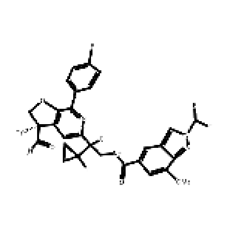 COc1cc(C(=O)NCC(O)(c2cc3c(c(-c4ccc(F)cc4)n2)OC[C@]3(C)C(N)=O)C2(F)CC2)cc2cn(C(F)F)nc12